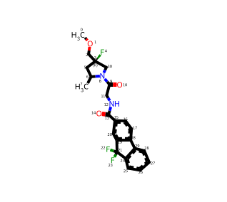 COC[C@@]1(F)CC(C)N(C(=O)CNC(=O)c2ccc3c(c2)C(F)(F)c2ccccc2-3)C1